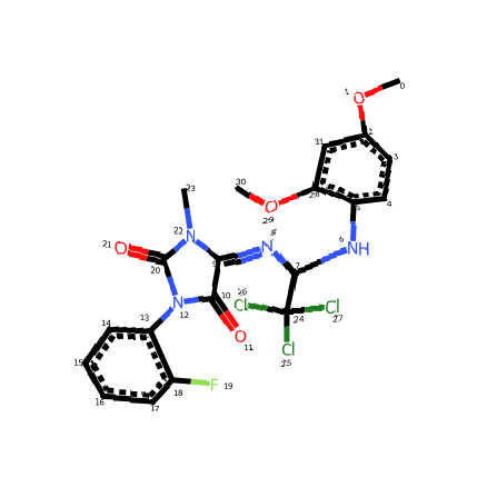 COc1ccc(NC(N=C2C(=O)N(c3ccccc3F)C(=O)N2C)C(Cl)(Cl)Cl)c(OC)c1